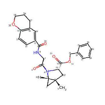 C[C@@]12C[C@@H]1N(C(=O)CNC(=O)c1ccc3c(c1)CCCO3)[C@H](C(=O)OCc1ccccc1)C2